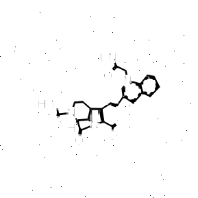 CC(=O)N1CCC2C(/C=C/c3cc4ccccc4[n+](CC(N)=O)c3)=C(C(=O)[O-])N3C(=O)[C@@H]1[C@@H]23